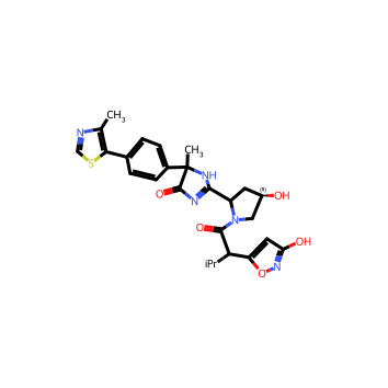 Cc1ncsc1-c1ccc(C2(C)NC(C3C[C@@H](O)CN3C(=O)C(c3cc(O)no3)C(C)C)=NC2=O)cc1